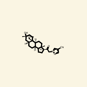 COC[C@]12CC[C@@](C)(O)C[C@H]1CC[C@H]1[C@@H]3CC[C@H](C(=O)Cn4cc(C#N)cn4)[C@@]3(C)CC[C@@H]12